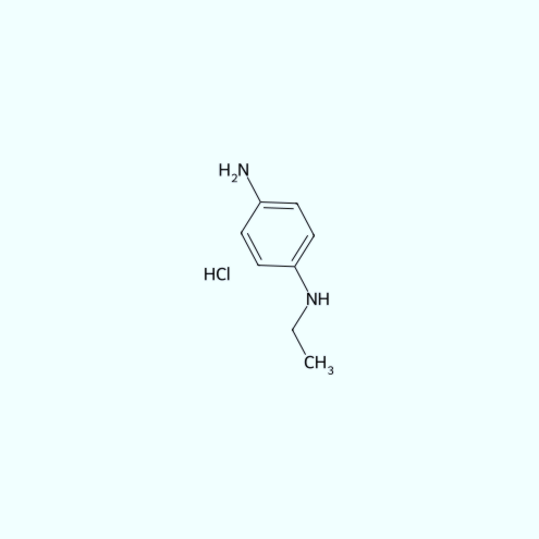 CCNc1ccc(N)cc1.Cl